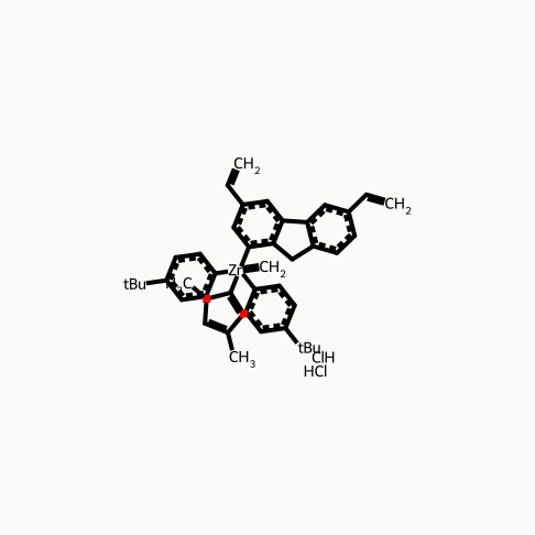 C=Cc1ccc2c(c1)-c1cc(C=C)c[c]([Zr](=[CH2])([C]3=CC(C)=CC3C)([c]3ccc(C(C)(C)C)cc3)[c]3ccc(C(C)(C)C)cc3)c1C2.Cl.Cl